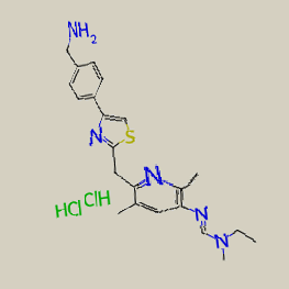 CCN(C)C=Nc1cc(C)c(Cc2nc(-c3ccc(CN)cc3)cs2)nc1C.Cl.Cl